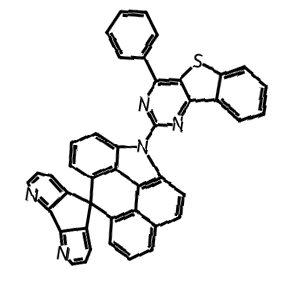 c1ccc(-c2nc(-n3c4cccc5c4c4c6c(cccc6ccc43)C53c4cccnc4-c4ncccc43)nc3c2sc2ccccc23)cc1